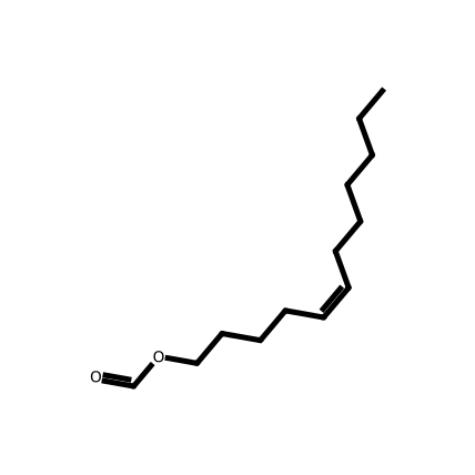 CCCCCC/C=C\CCCCOC=O